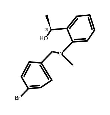 C[C@H](O)c1ccccc1N(C)Cc1ccc(Br)cc1